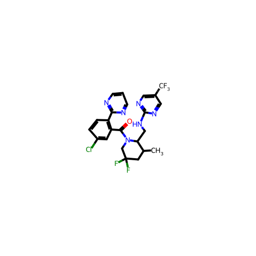 CC1CC(F)(F)CN(C(=O)c2cc(Cl)ccc2-c2ncccn2)C1CNc1ncc(C(F)(F)F)cn1